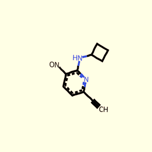 C#Cc1ccc(N=O)c(NC2CCC2)n1